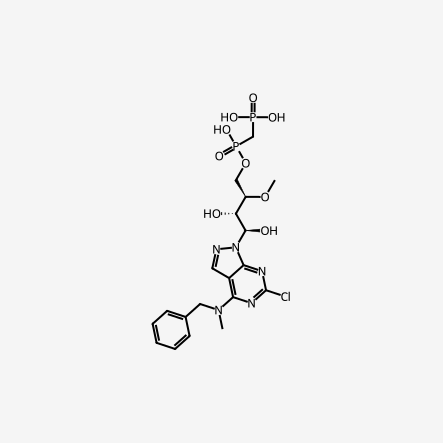 CO[C@H](COP(=O)(O)CP(=O)(O)O)[C@@H](O)[C@@H](O)n1ncc2c(N(C)Cc3ccccc3)nc(Cl)nc21